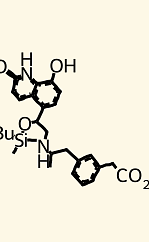 CC(Cc1cccc(CC(=O)O)c1)NCC(O[Si](C)(C)C(C)(C)C)c1ccc(O)c2[nH]c(=O)ccc12